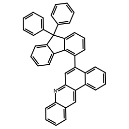 c1ccc(C2(c3ccccc3)c3ccccc3-c3c(-c4cc5nc6ccccc6cc5c5ccccc45)cccc32)cc1